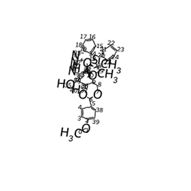 COc1ccc(C2OCC3O[C@@H](O[Si](c4ccccc4)(c4ccccc4)C(C)(C)C)C(N=[N+]=[N-])[C@@H](O)[C@@H]3O2)cc1